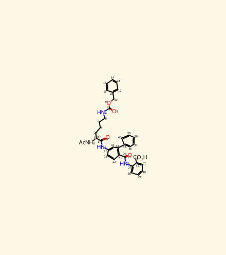 CC(=O)N[C@@H](CCCCNC(=O)OCc1ccccc1)C(=O)Nc1ccc(C(=O)Nc2ccccc2C(=O)O)c(-c2ccccc2)c1